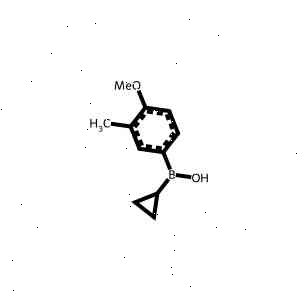 COc1ccc(B(O)C2CC2)cc1C